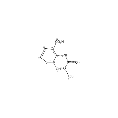 CC(C)(C)OC(=O)Nc1c(O)cccc1C(=O)O